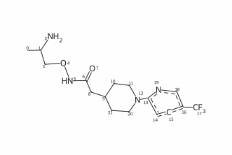 CC(N)CONC(=O)CC1CCN(c2ccc(C(F)(F)F)cn2)CC1